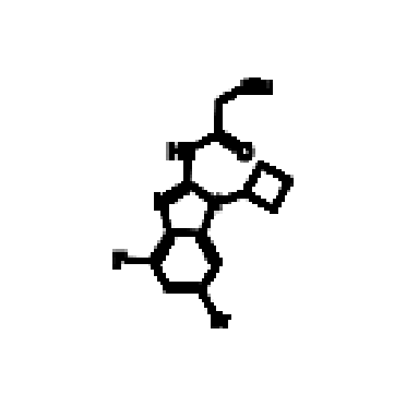 CC(C)(C)CC(=O)Nc1nc2c(F)cc(Br)cc2n1C1CCC1